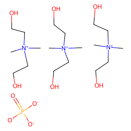 C[N+](C)(CCO)CCO.C[N+](C)(CCO)CCO.C[N+](C)(CCO)CCO.O=P([O-])([O-])[O-]